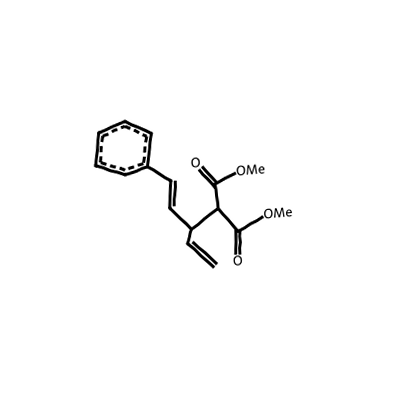 C=CC(/C=C/c1ccccc1)C(C(=O)OC)C(=O)OC